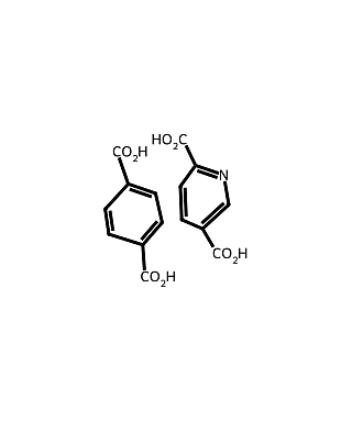 O=C(O)c1ccc(C(=O)O)cc1.O=C(O)c1ccc(C(=O)O)nc1